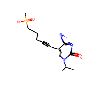 CC(C)n1cc(C#CCCCP(C)(=O)O)c(N)nc1=O